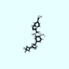 C#Cc1ccn2c(C(=O)Nc3cc(-c4noc(C5CC(F)(F)C5)n4)ccc3C)cnc2c1